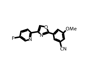 COc1cc(C#N)cc(-c2nc(-c3ccc(F)cn3)co2)c1